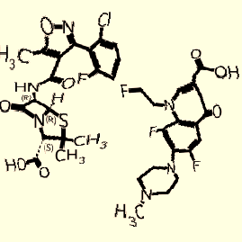 CN1CCN(c2c(F)cc3c(=O)c(C(=O)O)cn(CCF)c3c2F)CC1.Cc1onc(-c2c(F)cccc2Cl)c1C(=O)N[C@@H]1C(=O)N2[C@@H]1SC(C)(C)[C@@H]2C(=O)O